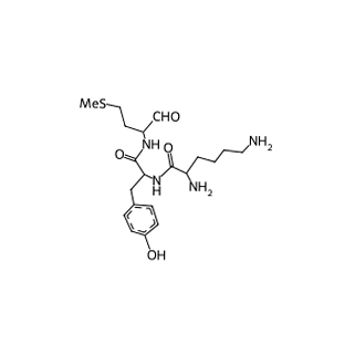 CSCCC(C=O)NC(=O)C(Cc1ccc(O)cc1)NC(=O)C(N)CCCCN